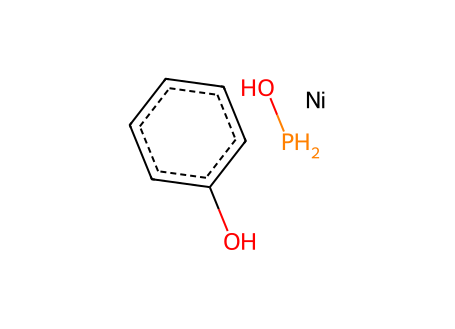 OP.Oc1ccccc1.[Ni]